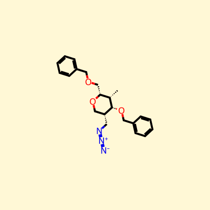 C[C@@H]1[C@H](OCc2ccccc2)[C@H](CN=[N+]=[N-])CO[C@@H]1COCc1ccccc1